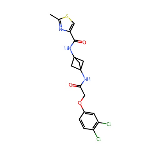 Cc1nc(C(=O)NC23CC(NC(=O)COc4ccc(Cl)c(Cl)c4)(C2)C3)cs1